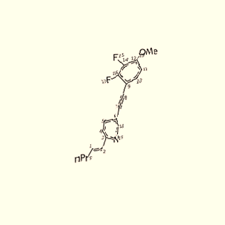 CCCC=Cc1ccc(C#Cc2ccc(OC)c(F)c2F)cn1